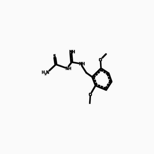 COc1cccc(OC)c1CNC(=N)NC(N)=S